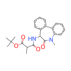 CC(C(=O)NC1C(=O)N(C)c2ccccc2-c2ccccc21)C(=O)OC(C)(C)C